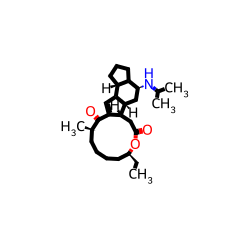 CC[C@H]1CCCC[C@@H](C)C(=O)C2=CC3[C@@H]4CCCC4[C@H](NC(C)C)C[C@H]3[C@@H]2CC(=O)O1